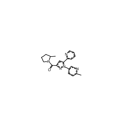 Cc1ccc(-n2nc(C(=O)N3CCCC3C)cc2-c2ccccn2)cn1